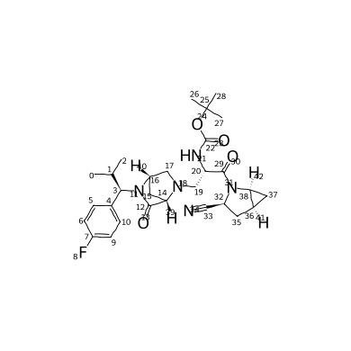 CC(C)[C@H](c1ccc(F)cc1)N1C(=O)[C@@H]2C[C@H]1CN2C[C@H](NC(=O)OC(C)(C)C)C(=O)N1[C@H](C#N)C[C@@H]2C[C@@H]21